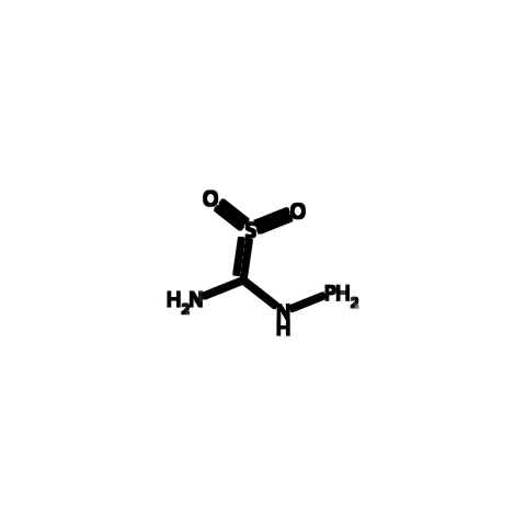 NC(NP)=S(=O)=O